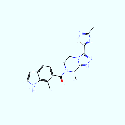 Cc1nsc(-c2nnc3n2CCN(C(=O)c2ccc4cc[nH]c4c2C)[C@@H]3C)n1